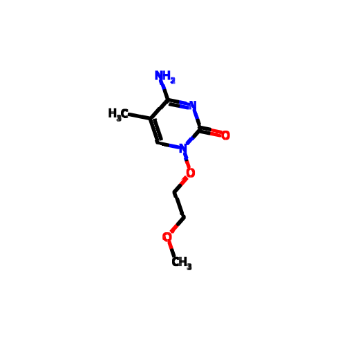 COCCOn1cc(C)c(N)nc1=O